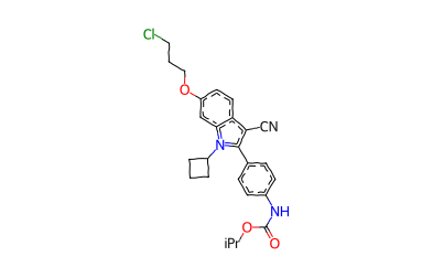 CC(C)OC(=O)Nc1ccc(-c2c(C#N)c3ccc(OCCCCl)cc3n2C2CCC2)cc1